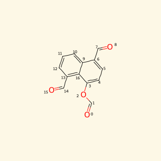 O=COc1ccc(C=O)c2cccc(C=O)c12